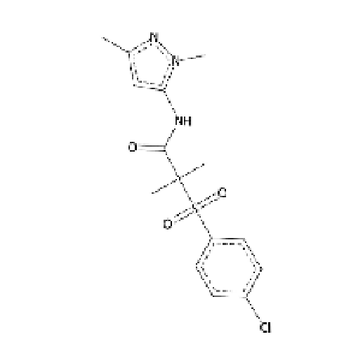 Cc1cc(NC(=O)C(C)(C)S(=O)(=O)c2ccc(Cl)cc2)n(C)n1